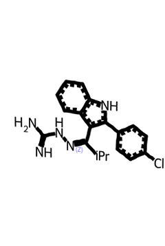 CC(C)/C(=N/NC(=N)N)c1c(-c2ccc(Cl)cc2)[nH]c2ccccc12